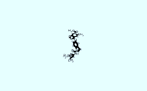 CC(=O)N1Cc2ncnc(Oc3ccc4c(ccn4C(=O)Nc4cc(C)n(C)n4)c3)c2CC1C